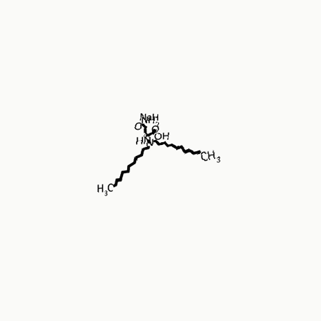 CCCCCCCCCCCCN(CCCCCCCCCCCC)N[C@@H](CCC(N)=O)C(=O)O.[NaH]